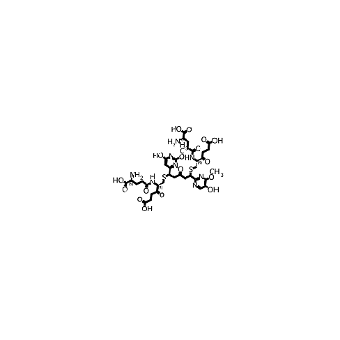 COc1nc(O)cc(C(CC(=O)CC(SC[C@H](NC(=O)CC[C@@H](N)C(=O)O)C(=O)CCC(=O)O)c2ncc(O)c(OC)n2)SC[C@H](NC(=O)CC[C@H](N)C(=O)O)C(=O)CCC(=O)O)n1